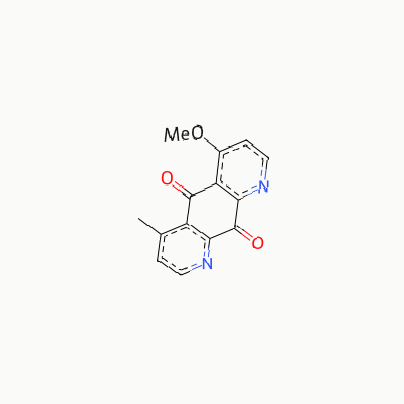 COc1ccnc2c1C(=O)c1c(C)ccnc1C2=O